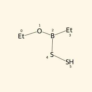 CCOB(CC)SS